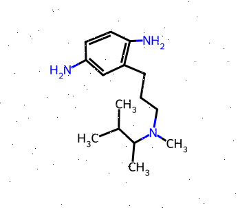 CC(C)C(C)N(C)CCCc1cc(N)ccc1N